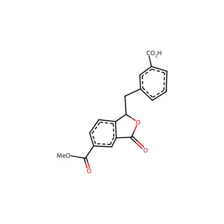 COC(=O)c1ccc2c(c1)C(=O)OC2Cc1cccc(C(=O)O)c1